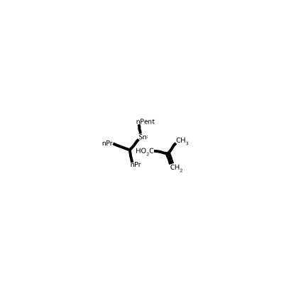 C=C(C)C(=O)O.CCCC[CH2][Sn][CH](CCC)CCC